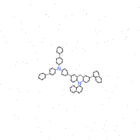 c1ccc(-c2ccc(N(c3ccc(-c4ccccc4)cc3)c3ccc(-c4ccc5c(c4)Cc4cc(-c6cccc7ccccc67)ccc4N5c4cccc5ccccc45)cc3)cc2)cc1